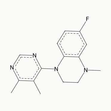 Cc1ncnc(N2CCN(C)c3cc(F)ccc32)c1C